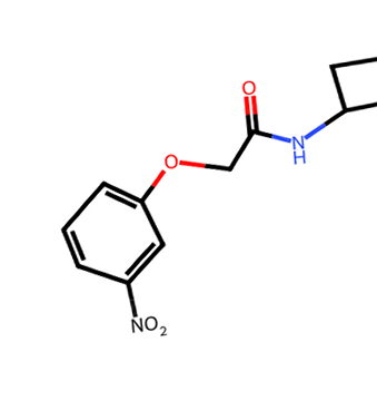 O=C(COc1cccc([N+](=O)[O-])c1)NC1CCC1